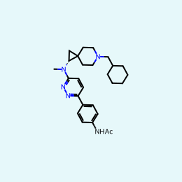 CC(=O)Nc1ccc(-c2ccc(N(C)[C@@H]3CC34CCN(CC3CCCCC3)CC4)nn2)cc1